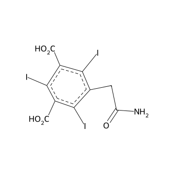 NC(=O)Cc1c(I)c(C(=O)O)c(I)c(C(=O)O)c1I